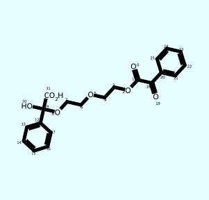 O=C(OCCOCCOC(O)(C(=O)O)c1ccccc1)C(=O)c1ccccc1